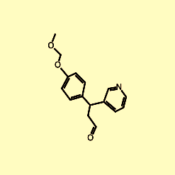 COCOc1ccc(C(CC=O)c2cccnc2)cc1